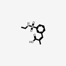 CCNS(=O)(=O)c1cccc(C=C(C)C(=O)O)c1